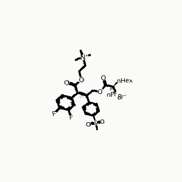 CCCCCC[C@@H](CCC)C(=O)OC/C(=C(\C(=O)OCC[N+](C)(C)C)c1ccc(F)c(F)c1)c1ccc(S(C)(=O)=O)cc1.[Br-]